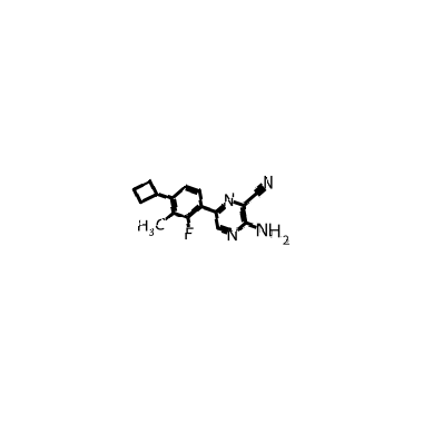 Cc1c(C2CCC2)ccc(-c2cnc(N)c(C#N)n2)c1F